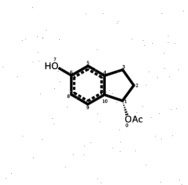 CC(=O)O[C@H]1CCc2cc(O)ccc21